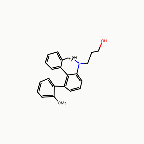 COc1ccccc1-c1cccc(N(C)CCCO)c1-c1ccccc1OC